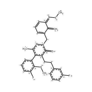 C=C1C(Cn2nc(C)c(-c3cccc(F)c3OC)c(CCc3cccc(F)c3)c2=O)=CC=C/C1=N/SC